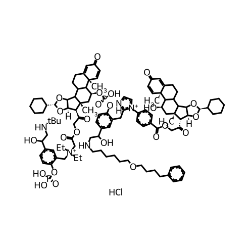 CC[N+](CC)(CC(=O)OCC(=O)[C@H]1[C@H]2O[C@H](C3CCCCC3)OC2C2C3CCC4=CC(=O)C=C[C@]4(C)C3[C@@H](OP(=O)(O)Oc3ccc(C(O)CNCCCCCCOCCCCc4ccccc4)cc3Cc3[nH]cc[n+]3-c3ccc(C(=O)OCC(=O)[C@H]4[C@@H]5O[C@H](C6CCCCC6)OC5C5C6CCC7=CC(=O)C=C[C@]7(C)C6[C@H](O)C[C@@]54C)cc3)C[C@@]21C)Cc1cc(C(O)CNC(C)(C)C)ccc1OP(=O)(O)O.Cl